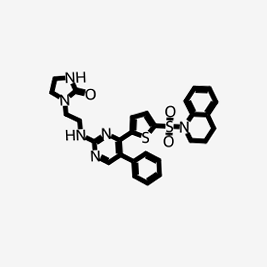 O=C1NCCN1CCNc1ncc(-c2ccccc2)c(-c2ccc(S(=O)(=O)N3CCCc4ccccc43)s2)n1